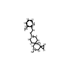 CN1CC2(CCN(CCc3ncccc3F)CC2)OC2(CC2)C1